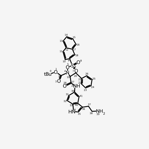 CC(C)(C)OC(=O)N(OS(=O)(=O)c1ccc2ccccc2c1)C(Cc1ccccc1)C(=O)Nc1ccc2[nH]cc(CCN)c2c1